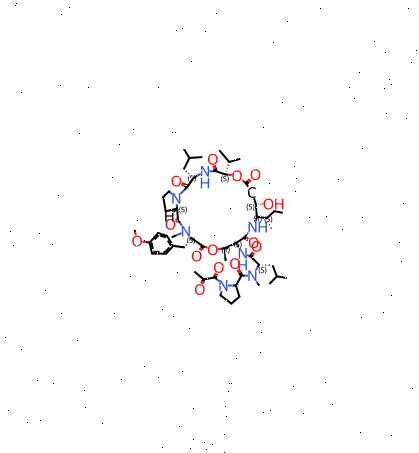 CC[C@H](C)[C@H]1NC(=O)[C@@H](NC(=O)[C@H](CC(C)C)N(C)C(=O)C2CCCN2C(=O)C(C)=O)[C@@H](C)OC(=O)[C@H](Cc2ccc(OC)cc2)N(C)C(=O)[C@@H]2CCCN2C(=O)[C@H](CC(C)C)NC(=O)[C@H](C(C)C)OC(=O)C[C@@H]1O